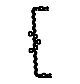 CCCCCCCC/C=C\CCCCCCCC(=O)OCC(=O)COC(=O)CCCCCCC/C=C\CCCCCCCC